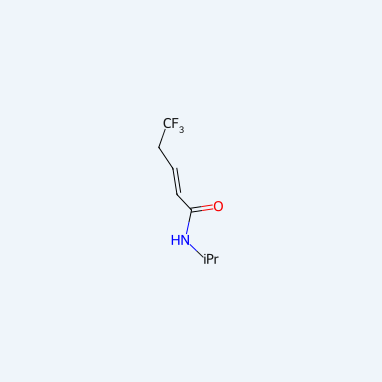 CC(C)NC(=O)/C=C/CC(F)(F)F